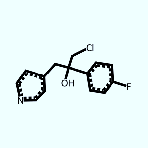 OC(CCl)(Cc1ccncc1)c1ccc(F)cc1